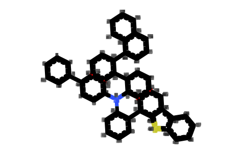 c1ccc(-c2ccc(N(c3ccccc3-c3ccccc3-c3cccc4ccccc34)c3ccccc3-c3cccc4c3sc3ccccc34)cc2)cc1